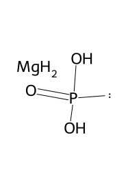 [CH]P(=O)(O)O.[MgH2]